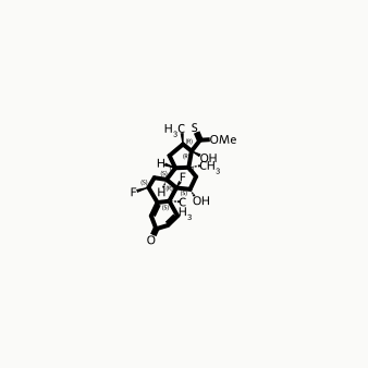 COC(=S)[C@@]1(O)[C@H](C)C[C@H]2[C@@H]3C[C@H](F)C4=CC(=O)C=C[C@]4(C)[C@@]3(F)[C@@H](O)C[C@@]21C